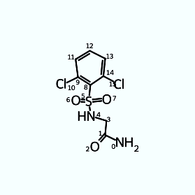 NC(=O)CNS(=O)(=O)c1c(Cl)cccc1Cl